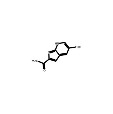 COC(=O)c1cc2cc(C=O)c[nH]c-2n1